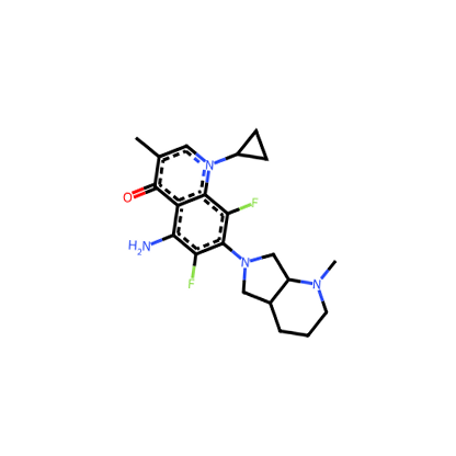 Cc1cn(C2CC2)c2c(F)c(N3CC4CCCN(C)C4C3)c(F)c(N)c2c1=O